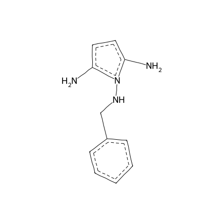 Nc1ccc(N)n1NCc1ccccc1